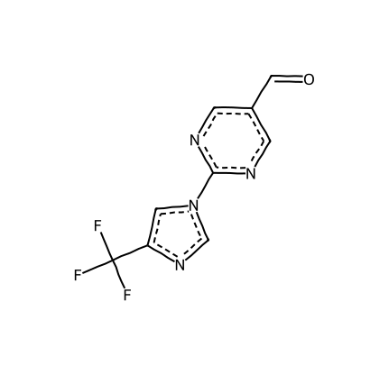 O=Cc1cnc(-n2cnc(C(F)(F)F)c2)nc1